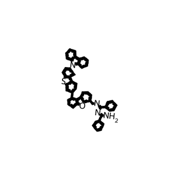 N/C(=N\C(=N/Cc1cccc2c1oc1cccc(-c3ccc4c(c3)sc3ccc(-n5c6ccccc6c6ccccc65)cc34)c12)c1ccccc1)c1ccccc1